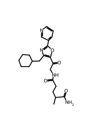 CC(C[CH]C(=O)NCC(=O)c1oc(-c2cccnc2)nc1CC1CCCCC1)C(N)=O